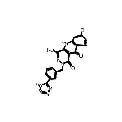 O=c1c2ccc(Cl)cc2[nH]c2c(O)nn(Cc3cccc(-c4nnn[nH]4)c3)c(=O)c12